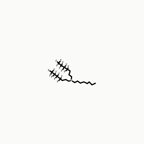 CCCCCCCCN(CCCC(F)(F)C(F)(F)C(F)(F)C(F)(F)F)CCCC(F)(F)C(F)(F)C(F)(F)C(F)(F)F